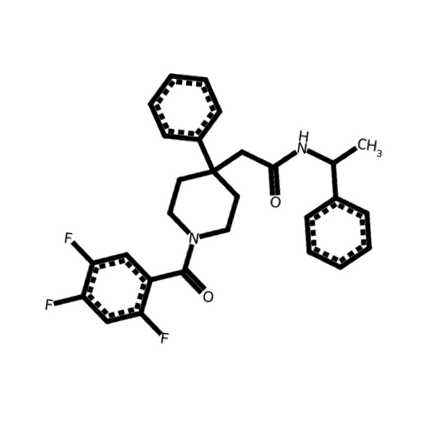 CC(NC(=O)CC1(c2ccccc2)CCN(C(=O)c2cc(F)c(F)cc2F)CC1)c1ccccc1